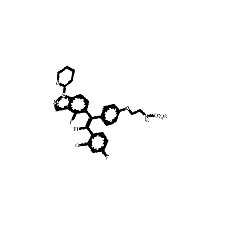 CCC(=C(c1ccc(OCCNC(=O)O)cc1)c1ccc2c(cnn2C2CCCCO2)c1F)c1ccc(F)cc1Cl